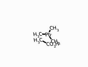 CC(=O)O.[CH3][Pb]([CH3])[CH3]